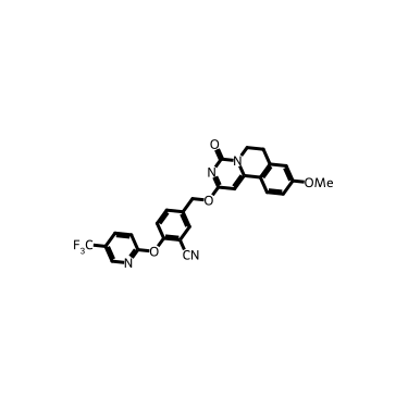 COc1ccc2c(c1)CCn1c-2cc(OCc2ccc(Oc3ccc(C(F)(F)F)cn3)c(C#N)c2)nc1=O